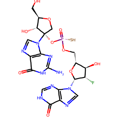 Nc1nc2c(ncn2[C@]2(O[P@](=O)(S)OC[C@H]3O[C@@H](n4cnc5c(=O)[nH]cnc54)[C@@H](F)[C@@H]3O)CO[C@H](CO)[C@H]2O)c(=O)[nH]1